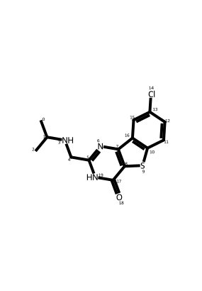 CC(C)NCc1nc2c(sc3ccc(Cl)cc32)c(=O)[nH]1